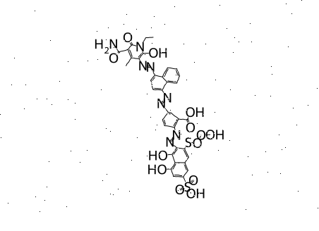 CCn1c(O)c(/N=N/c2ccc(/N=N/c3ccc(/N=N/c4c(SOOO)cc5cc(S(=O)(=O)O)cc(O)c5c4O)c(C(=O)O)c3)c3ccccc23)c(C)c(C(N)=O)c1=O